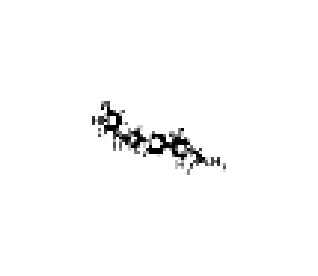 CC(C)CN1CCC(C2CCN(c3cnc(NC4CCC(=O)NC4=O)nc3)CC2)C(F)(F)C1